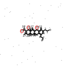 CCCc1cc(CCC)c2c(c1C)C(=O)C1C(C)C3(C)C(=O)C(C(C)=O)C(C)CC3(C)CC1(C)C2